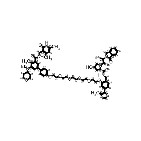 CCN(c1cc(-c2ccc(OCCOCCOCCOCCOCCOc3cc(-c4scnc4C)ccc3CNC(=O)[C@@H]3C[C@@H](O)CN3C(=O)C(C(C)C)N3Cc4ccccc4C3=O)cc2)cc(C(=O)NCc2c(C)cc(C)[nH]c2=O)c1C)C1CCOCC1